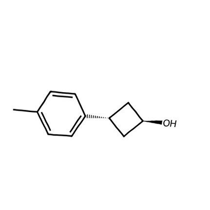 Cc1ccc([C@H]2C[C@H](O)C2)cc1